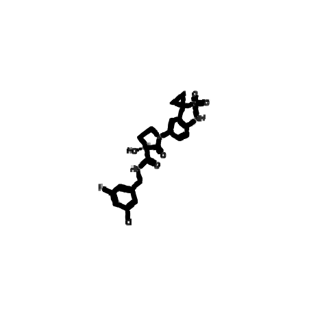 O=C(NCc1cc(F)cc(Cl)c1)[C@@]1(O)CCN(c2ccc3c(c2)C2(CC2)S(=O)(=O)N3)C1=O